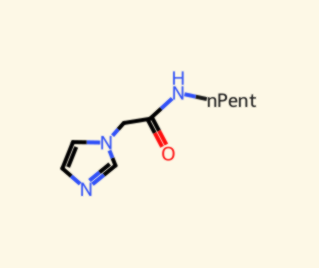 CCCCCNC(=O)Cn1ccnc1